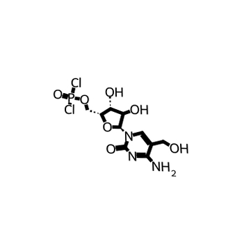 Nc1nc(=O)n([C@@H]2O[C@H](COP(=O)(Cl)Cl)[C@H](O)C2O)cc1CO